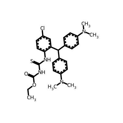 CCOC(=O)NC(=S)Nc1ccc(Cl)cc1C(c1ccc(N(C)C)cc1)c1ccc(N(C)C)cc1